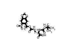 CC(OC(=O)NC[C@H](NC(=O)OC(C)(C)C)C(=O)O)c1cc2c(cc1[N+](=O)[O-])OCO2